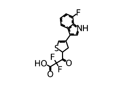 O=C(O)C(F)(F)C(=O)C1CC(c2c[nH]c3c(F)cccc23)=CS1